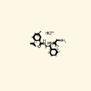 CC(C)[C@@H]1CC[C@@H](C)C[C@H]1C(=O)NC[C@@H](NC(=O)CN)C1CCCCC1.Cl